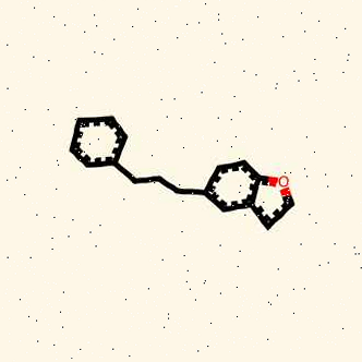 c1ccc(CCCc2ccc3occc3c2)cc1